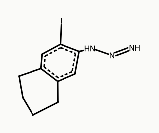 N=NNc1cc2c(cc1I)CCCC2